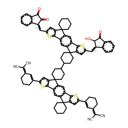 N#CC(C#N)=C1C=C(c2cc3c(s2)-c2cc4c(cc2C32CCCCC2)-c2sc(C3=CC(=C(C#N)C#N)CCC3)cc2C42CCC(C3CCC4(CC3)c3cc5c(cc3-c3sc(/C=C6/c7ccccc7C(=O)C6O)cc34)C3(CCCCC3)c3cc(/C=C4\C(=O)C(=O)c6ccccc64)sc3-5)CC2)CCC1